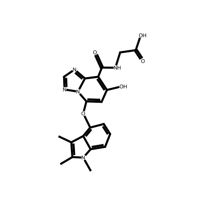 Cc1c(C)n(C)c2cccc(Oc3cc(O)c(C(=O)NCC(=O)O)c4ncnn34)c12